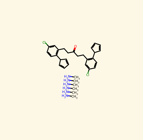 CN.CN.CN.CN.CN.CN.O=C(CCc1cc(Cl)ccc1C1C=CC=C1)CCc1cc(Cl)ccc1C1C=CC=C1